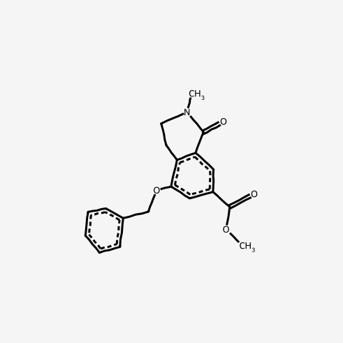 COC(=O)c1cc(OCc2ccccc2)c2c(c1)C(=O)N(C)CC2